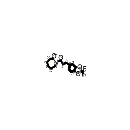 O=C(/C=C/c1ccc2c(c1)OC(F)(F)O2)N1CCCCCC1=O